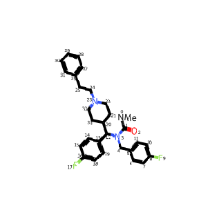 CNC(=O)N(Cc1ccc(F)cc1)C(c1ccc(F)cc1)C1CCN(CCc2ccccc2)CC1